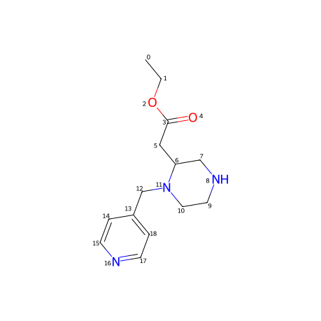 CCOC(=O)CC1CNCCN1Cc1ccncc1